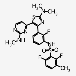 CNc1nccc(-c2sc(N(C)C)nc2-c2cccc(NS(=O)(=O)c3c(F)ccc(C)c3F)c2F)n1